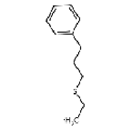 [CH2]CSCCCc1ccccc1